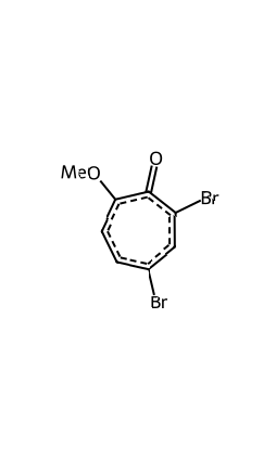 COc1ccc(Br)cc(Br)c1=O